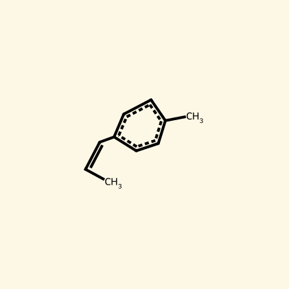 C/C=C\c1ccc(C)cc1